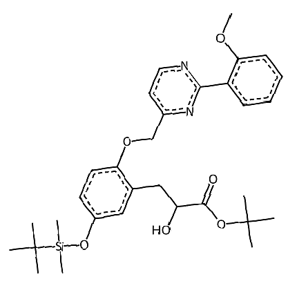 COc1ccccc1-c1nccc(COc2ccc(O[Si](C)(C)C(C)(C)C)cc2CC(O)C(=O)OC(C)(C)C)n1